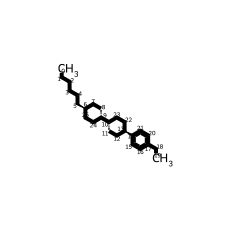 CCCCCC[C@H]1CC[C@H]([C@H]2CC[C@H](c3ccc(CC)cc3)CC2)CC1